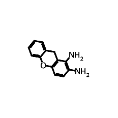 Nc1ccc2c(c1N)Cc1ccccc1O2